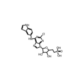 O=P(O)(O)CCC1OC(n2cnc3c(Nc4ccc5[nH]ccc5c4)nc(Cl)nc32)C(O)C1O